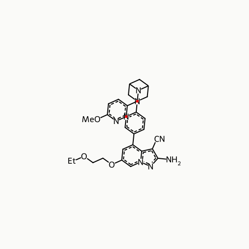 CCOCCOc1cc(-c2ccc(N3CC4CC(C3)N4Cc3ccc(OC)nc3)nc2)c2c(C#N)c(N)nn2c1